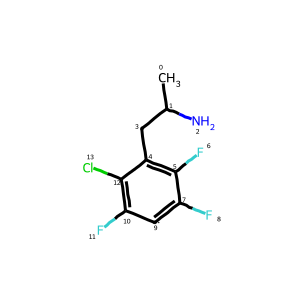 CC(N)Cc1c(F)c(F)[c]c(F)c1Cl